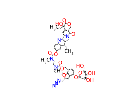 CCc1c2c(nc3ccc(OC(=O)N(C)CCN(C)C(=O)OCc4ccc(O[C@H]5C[C@@H](O)[C@@H](O)[C@@H](CO)O5)c5cc(CN=[N+]=[N-])oc45)cc13)-c1cc3c(c(=O)n1C2)COC(=O)[C@@]3(O)CC